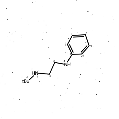 CC(C)(C)NCCNc1ccccc1